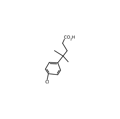 CC(C)(CCC(=O)O)c1ccc(Cl)cc1